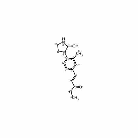 COC(=O)C=Cc1ccc(N2CCNC2=O)c(C)c1